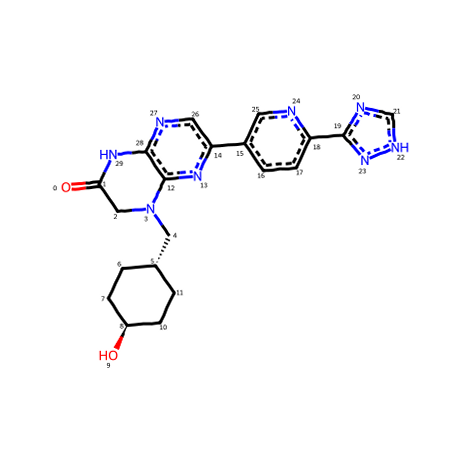 O=C1CN(C[C@H]2CC[C@H](O)CC2)c2nc(-c3ccc(-c4nc[nH]n4)nc3)cnc2N1